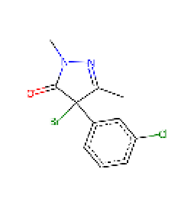 CC1=NN(C)C(=O)C1(Br)c1cccc(Cl)c1